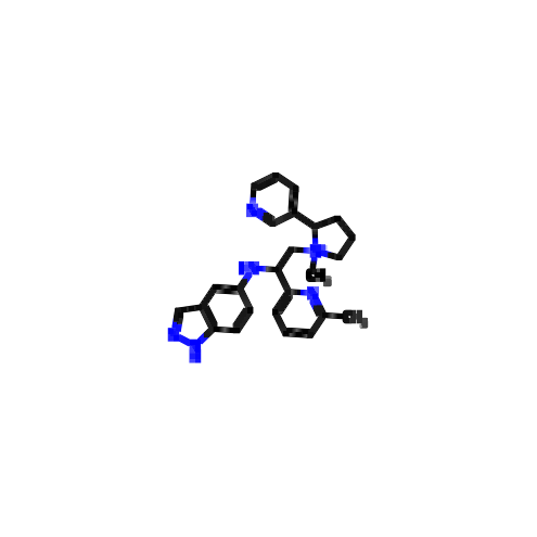 Cc1cccc(C(C[N+]2(C)CCCC2c2cccnc2)Nc2ccc3[nH]ncc3c2)n1